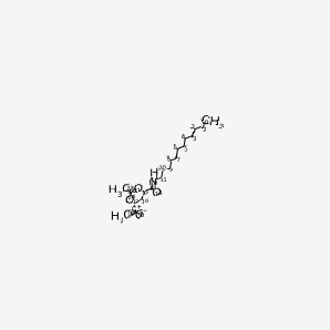 CCCCCCCCCCCCNC(=O)C(CC[S+](C)[O-])OC(C)=O